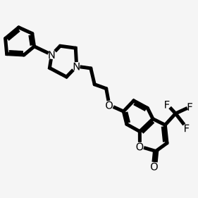 O=c1cc(C(F)(F)F)c2ccc(OCCCN3CCN(c4ccccc4)CC3)cc2o1